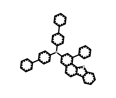 c1ccc(-c2ccc(N(c3ccc(-c4ccccc4)cc3)c3cc(-c4ccccc4)c4c(ccc5c6ccccc6oc54)c3)cc2)cc1